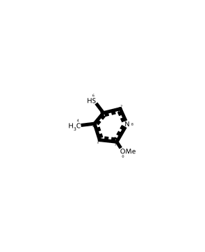 COc1cc(C)c(S)cn1